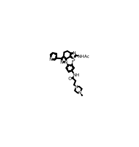 CC(=O)Nc1nc2c(s1)-c1c(c(-c3cccnc3)nn1-c1ccc(NC(=O)CCN3CCN(C)CC3)cc1F)CC2